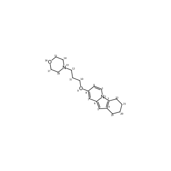 c1cn2c3c(cc2cc1OCCCN1CCOCC1)CCCC3